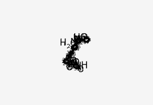 Nc1nnc(-c2ccccc2O)cc1-c1ccc(C2CC3(C2)CN(c2cccc4c2C(=O)N(C2CCC(=O)NC2=O)C4=O)C3)cc1